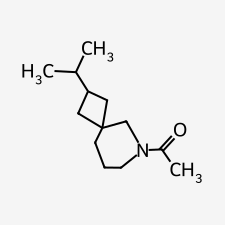 CC(=O)N1CCCC2(CC(C(C)C)C2)C1